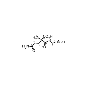 CCCCCCCCCCCC(=O)C(N)(CCC(N)=O)C(=O)O